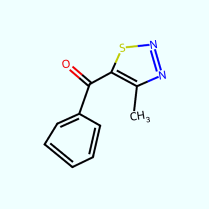 Cc1nnsc1C(=O)c1ccccc1